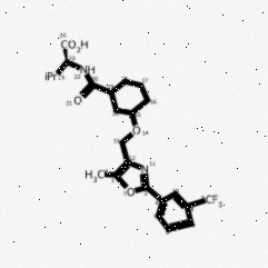 Cc1oc(-c2cccc(C(F)(F)F)c2)nc1COC1CCCC(C(=O)N[C@H](C(=O)O)C(C)C)C1